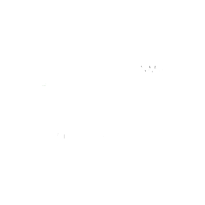 CNc1ccc(C(C)(C)C)c(Br)c1